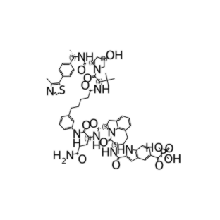 Cc1ncsc1-c1ccc([C@H](C)NC(=O)[C@@H]2C[C@@H](O)CN2C(=O)[C@@H](NC(=O)CCCCc2cccc(NC(=O)[C@H](CCC(N)=O)NC(=O)[C@@H]3Cc4cccc5c4N3C(=O)[C@@H](NC(=O)c3cc4cc(C(=O)P(=O)(O)O)ccc4[nH]3)CC5)c2)C(C)(C)C)cc1